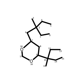 CCC(C)(CC)CC1CC(C(C)(CC)CC)OCO1